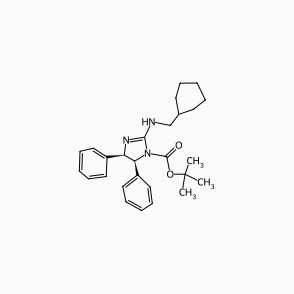 CC(C)(C)OC(=O)N1C(NCC2CCCCC2)=N[C@H](c2ccccc2)[C@@H]1c1ccccc1